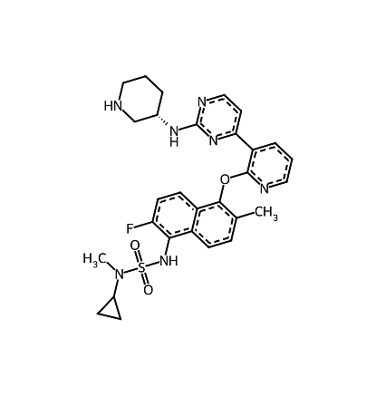 Cc1ccc2c(NS(=O)(=O)N(C)C3CC3)c(F)ccc2c1Oc1ncccc1-c1ccnc(N[C@H]2CCCNC2)n1